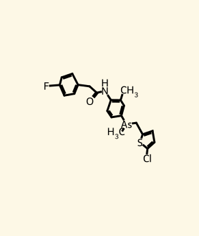 Cc1cc([As](C)Cc2ccc(Cl)s2)ccc1NC(=O)Cc1ccc(F)cc1